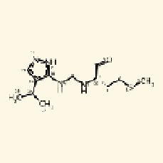 CSCC[C@@H]([C]=O)NCNc1[nH]ncc1C(C)C